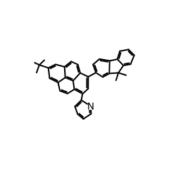 CC(C)(C)c1cc2ccc3c(-c4ccc5c(c4)C(C)(C)c4ccccc4-5)cc(-c4ccccn4)c4ccc(c1)c2c34